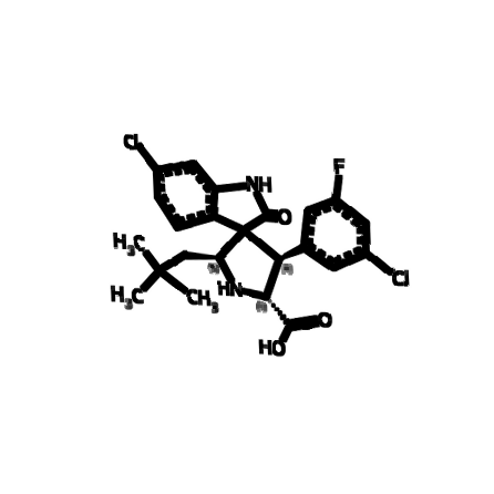 CC(C)(C)C[C@@H]1N[C@@H](C(=O)O)[C@H](c2cc(F)cc(Cl)c2)C12C(=O)Nc1cc(Cl)ccc12